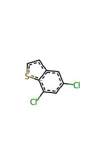 Clc1cc(Cl)c2sccc2c1